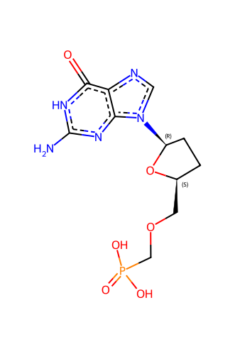 Nc1nc2c(ncn2[C@H]2CC[C@@H](COCP(=O)(O)O)O2)c(=O)[nH]1